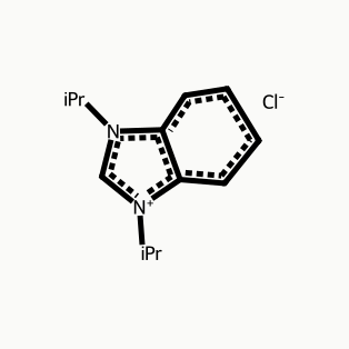 CC(C)n1c[n+](C(C)C)c2ccccc21.[Cl-]